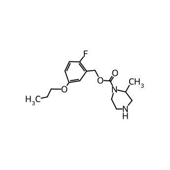 CCCOc1ccc(F)c(COC(=O)N2CCNCC2C)c1